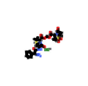 CC1(C)S[C@@H]2[C@H](NC(=O)[C@H](N)c3ccccc3)C(=O)N2[C@H]1C(=O)OCOC(=O)[C@@H]1N2C(=O)C[C@@H]2S(=O)(=O)C1(C)C.Cl